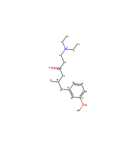 CCN(CC)CCC(=O)CC(C)Cc1cccc(OC)c1